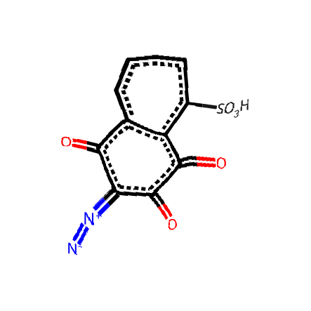 [N-]=[N+]=c1c(=O)c(=O)c2c(S(=O)(=O)O)cccc2c1=O